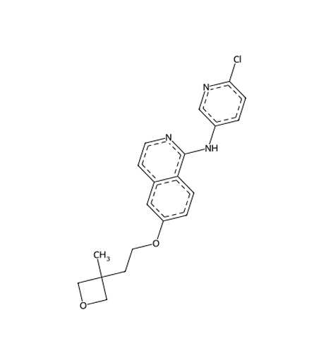 CC1(CCOc2ccc3c(Nc4ccc(Cl)nc4)nccc3c2)COC1